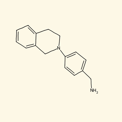 NCc1ccc(N2CCc3ccccc3C2)cc1